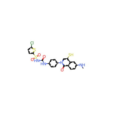 CNc1ccc2c(=O)n(-c3ccc(NC(=O)NS(=O)(=O)c4ccc(Cl)s4)cc3)cc(S)c2c1